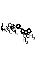 CC1(C)c2ccccc2-c2cc(-c3cccc(B4OC(C)(C)C(C)(C)O4)c3)ccc21